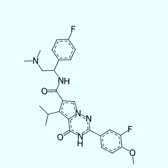 COc1ccc(-c2nn3cc(C(=O)NC(CN(C)C)c4ccc(F)cc4)c(C(C)C)c3c(=O)[nH]2)cc1F